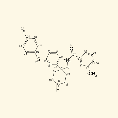 Cc1cc(C(=O)N2CC3(CCNCC3)c3cc(Sc4ccc(F)cc4)ccc32)ccn1